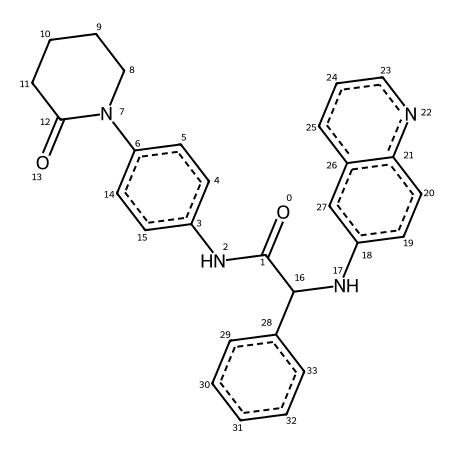 O=C(Nc1ccc(N2CCCCC2=O)cc1)C(Nc1ccc2ncccc2c1)c1ccccc1